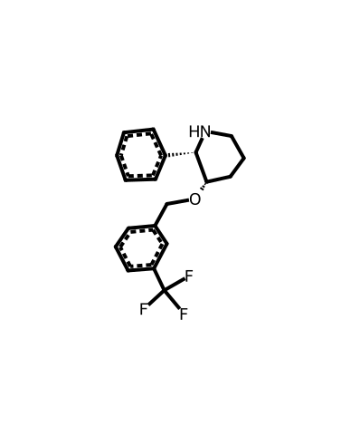 FC(F)(F)c1cccc(CO[C@H]2CCCN[C@H]2c2ccccc2)c1